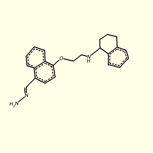 NN=Cc1ccc(OCCNC2CCCc3ccccc32)c2ccccc12